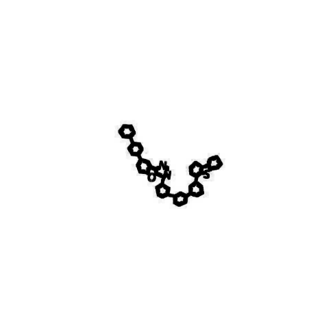 c1ccc(-c2ccc(-c3ccc4oc5c(-c6cccc(-c7cccc(-c8cccc(-c9cccc%10c9sc9ccccc9%10)c8)c7)c6)ncnc5c4c3)cc2)cc1